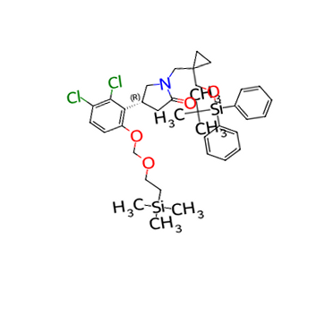 CC(C)(C)[Si](OCC1(CN2C[C@@H](c3c(OCOCC[Si](C)(C)C)ccc(Cl)c3Cl)CC2=O)CC1)(c1ccccc1)c1ccccc1